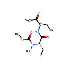 COC(=O)[C@H](CC(C)C)NC(=O)[C@H](CC(C)C)N(C)C(=O)OC(C)(C)C